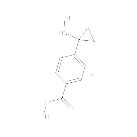 CNC1(c2ccc(C(=O)OC)cc2)CC1.Cl